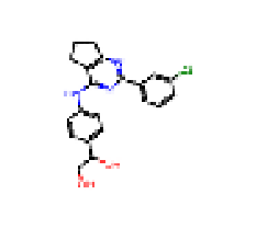 OCC(O)c1ccc(Nc2nc(-c3cccc(Cl)c3)nc3c2CCC3)cc1